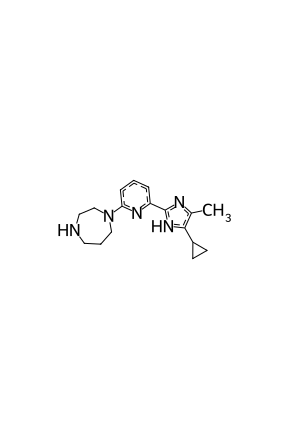 Cc1nc(-c2cccc(N3CCCNCC3)n2)[nH]c1C1CC1